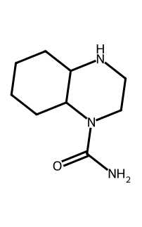 NC(=O)N1CCNC2CCCCC21